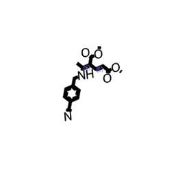 COC(=O)/C=C/C(C(=O)OC)=C(/C)NCc1ccc(C#N)cc1